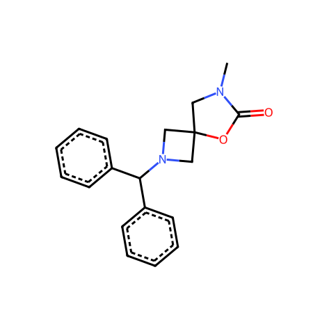 CN1CC2(CN(C(c3ccccc3)c3ccccc3)C2)OC1=O